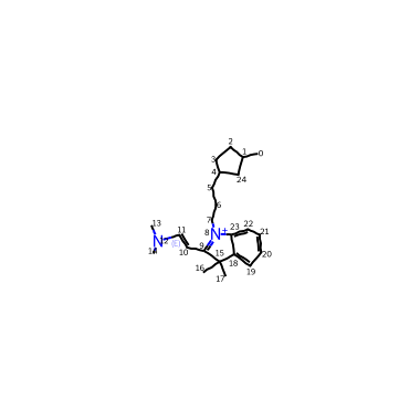 CC1CCC(CCC[N+]2=C(/C=C/N(C)C)C(C)(C)c3ccccc32)C1